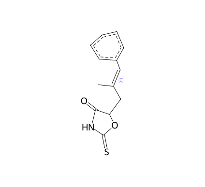 C/C(=C\c1ccccc1)CC1OC(=S)NC1=O